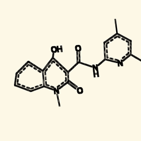 Cc1cc(C)nc(NC(=O)c2c(O)c3ccccc3n(C)c2=O)c1